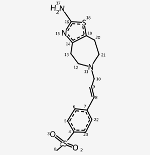 CS(=O)(=O)c1ccc(/C=C/CN2CCc3nc(N)sc3CC2)cc1